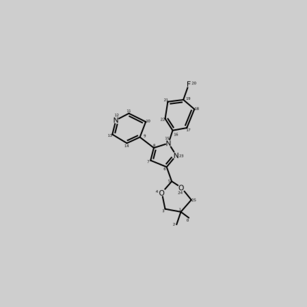 CC1(C)COC(c2cc(-c3ccncc3)n(-c3ccc(F)cc3)n2)OC1